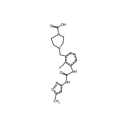 Cc1cc(NC(=O)Nc2cccc(CN3CCN(C(=O)O)CC3)c2F)no1